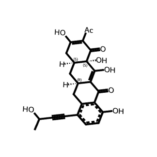 CC(=O)C1=C(O)C[C@@H]2C[C@@H]3Cc4c(C#CC(C)O)ccc(O)c4C(=O)C3=C(O)[C@]2(O)C1=O